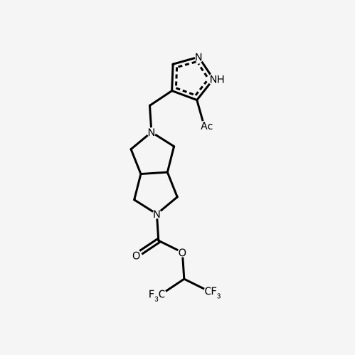 CC(=O)c1[nH]ncc1CN1CC2CN(C(=O)OC(C(F)(F)F)C(F)(F)F)CC2C1